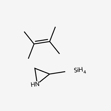 CC(C)=C(C)C.CC1CN1.[SiH4]